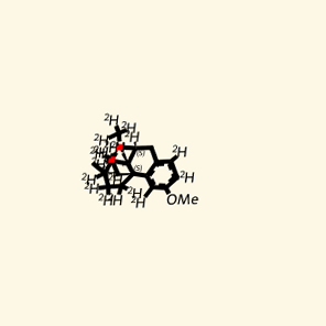 [2H]c1c([2H])c(OC)c([2H])c2c1C[C@]1([2H])N(C([2H])([2H])[2H])C([2H])([2H])C([2H])([2H])[C@]23C([2H])([2H])C([2H])([2H])C([2H])(C)C([2H])([2H])[C@@]31[2H]